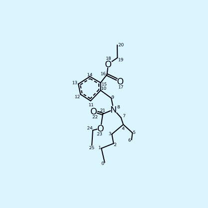 CCCCC(CC)CN(Cc1ccccc1C(=O)OCC)C(=O)OCC